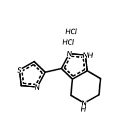 Cl.Cl.c1nc(-c2n[nH]c3c2CNCC3)cs1